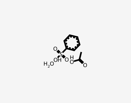 CC(=O)O.O.O=S(=O)(O)c1ccccc1